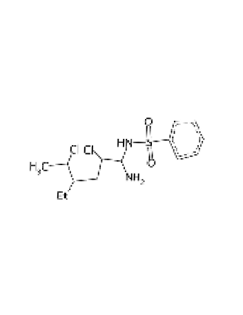 CCC(CC(Cl)C(N)NS(=O)(=O)c1ccccc1)C(C)Cl